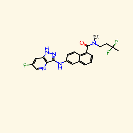 CCN(CCC(C)(F)F)C(=O)c1cccc2cc(Nc3n[nH]c4cc(F)cnc34)ccc12